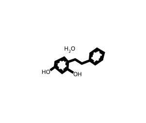 O.Oc1ccc(CCc2ccccc2)c(O)c1